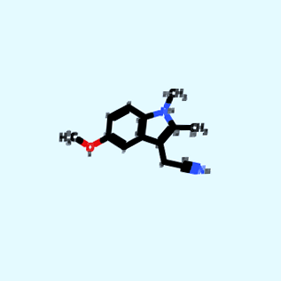 COc1ccc2c(c1)c(CC#N)c(C)n2C